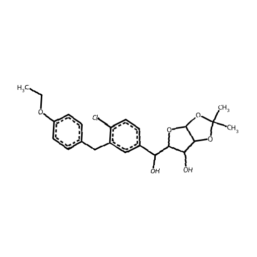 CCOc1ccc(Cc2cc(C(O)C3OC4OC(C)(C)OC4C3O)ccc2Cl)cc1